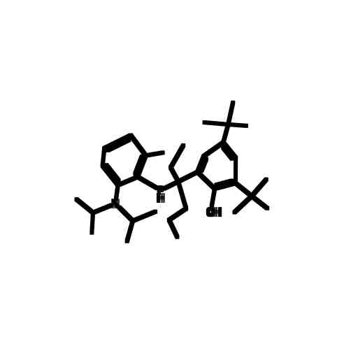 CCCC(CC)(Pc1c(C)cccc1N(C(C)C)C(C)C)c1cc(C(C)(C)C)cc(C(C)(C)C)c1O